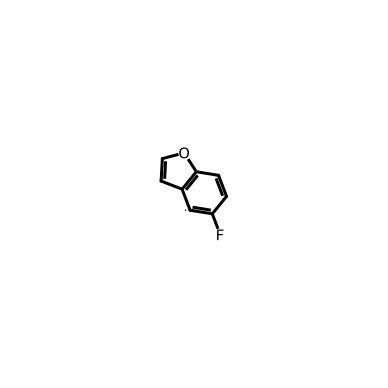 Fc1[c]c2ccoc2cc1